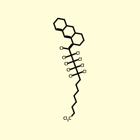 ClC(=C1CCCC2CC3CCCC=C3C=C12)C(Cl)(Cl)C(Cl)(Cl)C(Cl)(Cl)C(Cl)(Cl)CCCCCCCC(Cl)(Cl)Cl